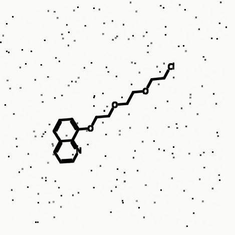 ClCCOCCOCCOc1cccc2cccnc12